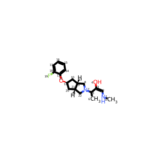 CN/C=C(/O)C(C)N1C[C@H]2C[C@H](Oc3ccccc3F)C[C@H]2C1